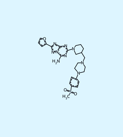 CS(=O)(=O)c1ccc(N2CCN(CC3CCCN(c4nc(N)n5nc(-c6ccco6)nc5n4)C3)CC2)cc1